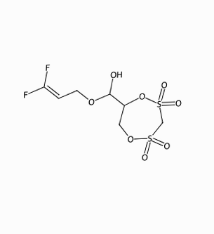 O=S1(=O)CS(=O)(=O)OC(C(O)OCC=C(F)F)CO1